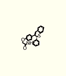 O=C1COc2ccc(C3=Cc4ccccc4S[C@H]3c3ccccc3)cc2N1